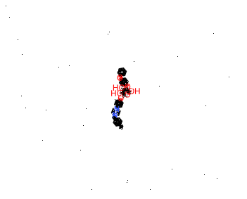 CCc1ccc(CN2CCN(c3ccc(OC[C@H]4O[C@H](O)[C@H](Oc5ccc(OC6CCCCC6)cc5)[C@@H](O)[C@@H]4O)cc3)CC2)cc1